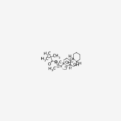 C[C@H](OC(=O)C(C)(C)C)[C@H]1CC[C@]2(O)[C@@H]3CC[C@@H]4CCCC[C@]4(CO)[C@H]3CC[C@]12C